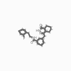 O=C(NCCc1ccccc1F)c1cccc(Cc2n[nH]c(=O)c3c2CCCC3)c1